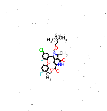 CCOC(=O)c1cc2c(-c3cc(Cl)ccc3Oc3ccc(F)cc3F)n(COCC[Si](C)(C)C)c(C)c2c(=O)[nH]1